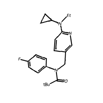 CCN(c1ccc(CN(C(=O)C(C)(C)C)c2ccc(F)cc2)cn1)C1CC1